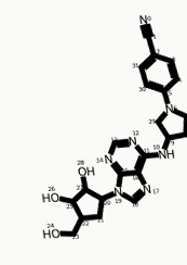 N#Cc1ccc(N2CCC(Nc3ncnc4c3ncn4C3CC(CO)C(O)C3O)C2)cc1